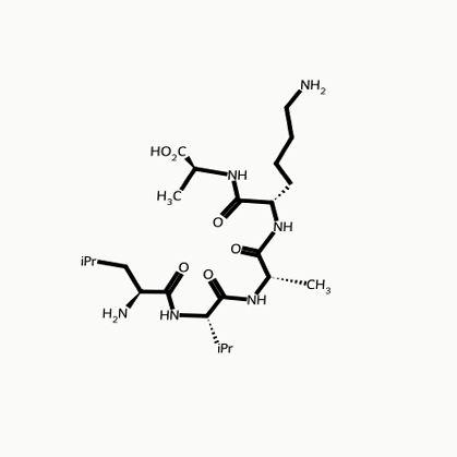 CC(C)C[C@H](N)C(=O)N[C@H](C(=O)N[C@@H](C)C(=O)N[C@@H](CCCCN)C(=O)N[C@@H](C)C(=O)O)C(C)C